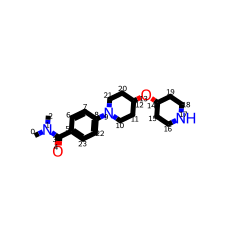 CN(C)C(=O)c1ccc(N2CCC(OC3CCNCC3)CC2)cc1